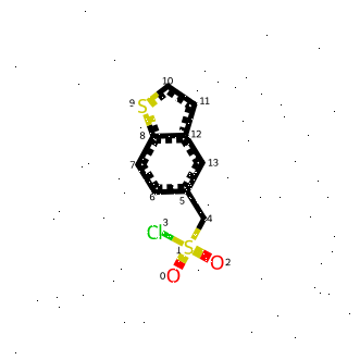 O=S(=O)(Cl)Cc1ccc2sccc2c1